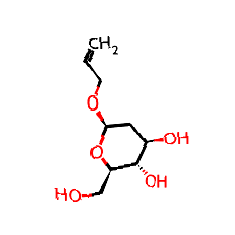 C=CCO[C@H]1C[C@@H](O)[C@H](O)[C@@H](CO)O1